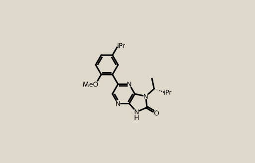 COc1ccc(C(C)C)cc1-c1cnc2[nH]c(=O)n([C@H](C)C(C)C)c2n1